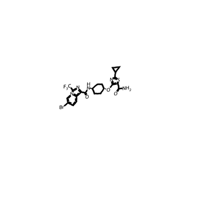 NC(=O)c1sc(C2CC2)nc1O[C@H]1CC[C@H](NC(=O)c2nc(C(F)(F)F)n3cc(Br)ccc23)CC1